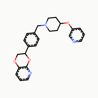 c1cncc(OC2CCN(Cc3ccc(C4COc5cccnc5O4)cc3)CC2)c1